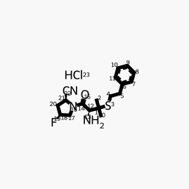 CC(C)(SCCc1ccccc1)[C@H](N)C(=O)N1C[C@@H](F)C[C@H]1C#N.Cl